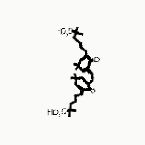 CC1(C)C=C(/C=C\C2=CC(C)(C)C=C(CCCCC(C)(C)C(=O)O)C2=O)C(=O)C(CCCCC(C)(C)C(=O)O)=C1